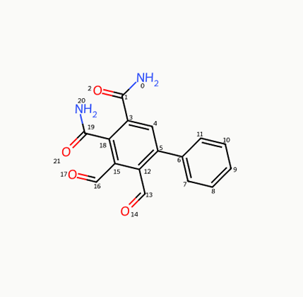 NC(=O)c1cc(-c2ccccc2)c(C=O)c(C=O)c1C(N)=O